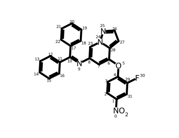 O=[N+]([O-])c1ccc(Oc2cc(N=C(c3ccccc3)c3ccccc3)cn3nccc23)c(F)c1